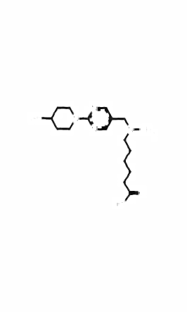 CC(C)C(=O)CCCCCN(C)Cc1cnc(N2CCC(C(C)C)CC2)nc1